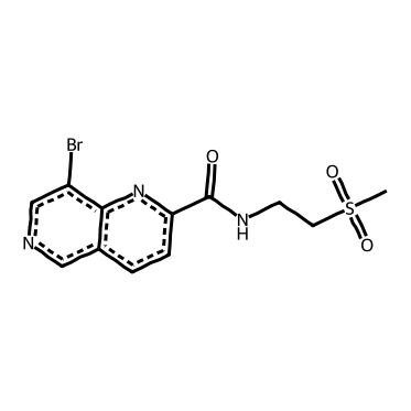 CS(=O)(=O)CCNC(=O)c1ccc2cncc(Br)c2n1